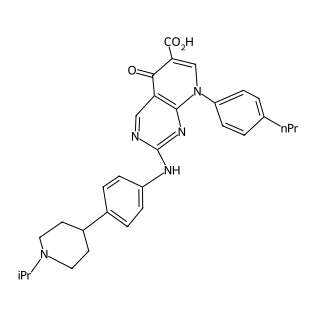 CCCc1ccc(-n2cc(C(=O)O)c(=O)c3cnc(Nc4ccc(C5CCN(C(C)C)CC5)cc4)nc32)cc1